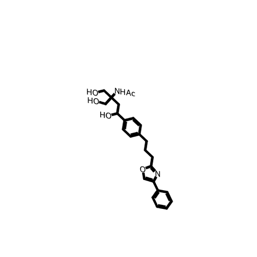 CC(=O)NC(CO)(CO)CC(O)c1ccc(CCCc2nc(-c3ccccc3)co2)cc1